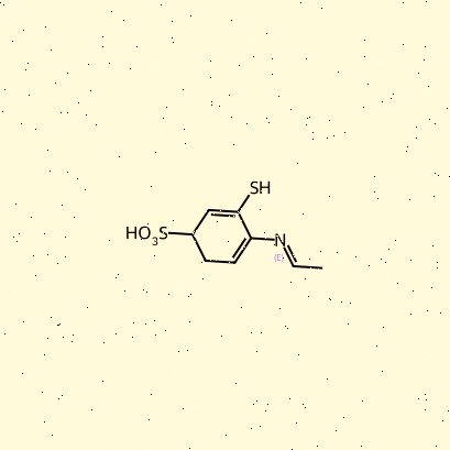 C/C=N/C1=CCC(S(=O)(=O)O)C=C1S